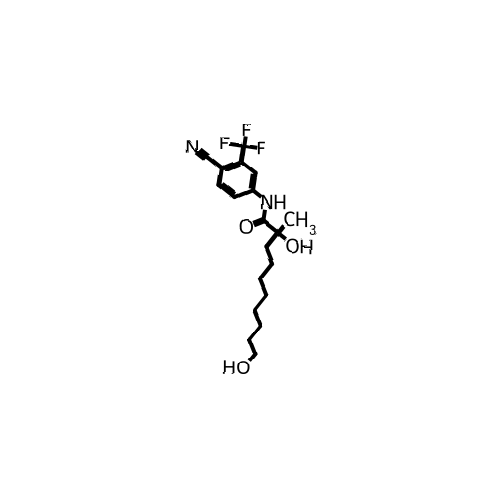 CC(O)(CCCCCCCCO)C(=O)Nc1ccc(C#N)c(C(F)(F)F)c1